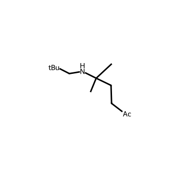 CC(=O)CCC(C)(C)NCC(C)(C)C